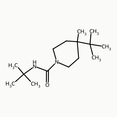 CC(C)(C)NC(=O)N1CCC(C)(C(C)(C)C)CC1